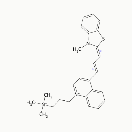 CN1/C(=C\C=C\c2cc[n+](CCC[N+](C)(C)C)c3ccccc23)Sc2ccccc21